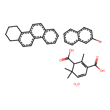 Brc1ccc2ccccc2c1.CC1=C(C(=O)O)C=CC(C)(C)C1C(=O)O.O.c1ccc2c(c1)ccc1c3c(ccc12)CCCC3